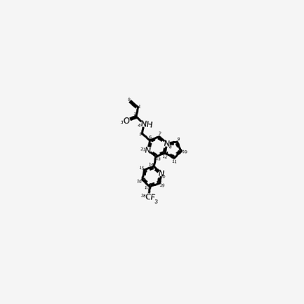 C=CC(=O)NCc1cn2cccc2c(-c2ccc(C(F)(F)F)cn2)n1